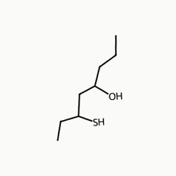 CCCC(O)CC(S)CC